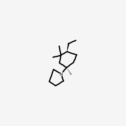 CC[C@H]1CC[C@@](C)(N2CCCC2)CC1(C)C